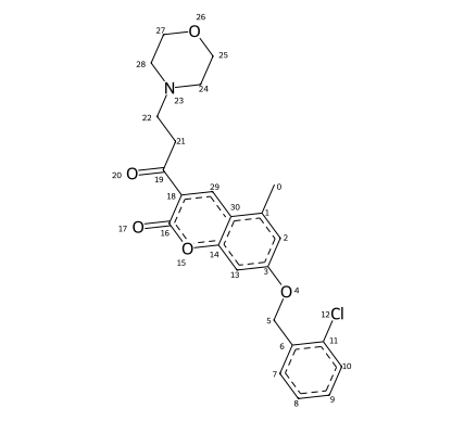 Cc1cc(OCc2ccccc2Cl)cc2oc(=O)c(C(=O)CCN3CCOCC3)cc12